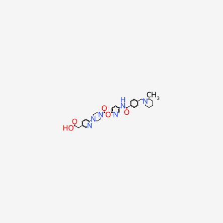 CC1CCCCN1Cc1ccc(C(=O)Nc2ccc(OC(=O)N3CCN(c4ccc(CC(=O)O)cn4)CC3)nc2)cc1